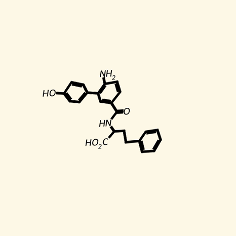 Nc1ccc(C(=O)NC(CCc2ccccc2)C(=O)O)cc1-c1ccc(O)cc1